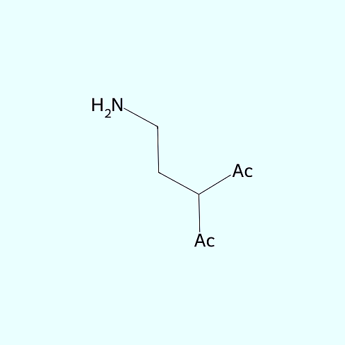 CC(=O)C(CCN)C(C)=O